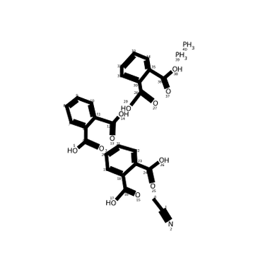 CC#N.O=C(O)c1ccccc1C(=O)O.O=C(O)c1ccccc1C(=O)O.O=C(O)c1ccccc1C(=O)O.P.P